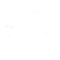 CN/C=C(\C=N)c1ccc(-c2cncc(Cl)c2N2CCC(F)(C(N)=O)CC2)cc1